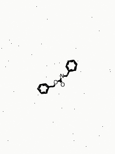 O=C([N]Cc1ccccc1)OCc1ccccc1